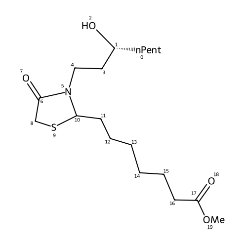 CCCCC[C@@H](O)CCN1C(=O)CSC1CCCCCCC(=O)OC